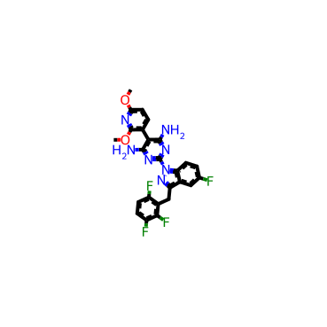 COc1ccc(-c2c(N)nc(-n3nc(Cc4c(F)ccc(F)c4F)c4cc(F)ccc43)nc2N)c(OC)n1